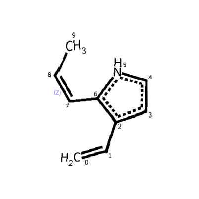 C=Cc1cc[nH]c1/C=C\C